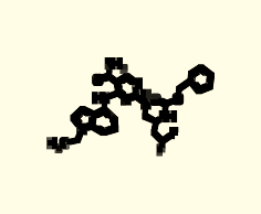 CCn1ccc2c(Nc3nc(NC[C@H](CC(F)F)NC(=O)OCc4ccccc4)ncc3C(N)=O)cccc21